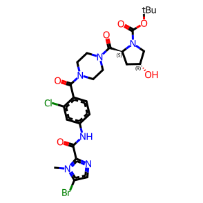 Cn1c(Br)cnc1C(=O)Nc1ccc(C(=O)N2CCN(C(=O)[C@@H]3C[C@@H](O)CN3C(=O)OC(C)(C)C)CC2)c(Cl)c1